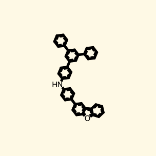 c1ccc(-c2cc(-c3ccccc3)cc(-c3ccc(Nc4ccc(-c5ccc6oc7ccccc7c6c5)cc4)cc3)c2)cc1